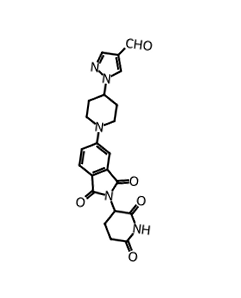 O=Cc1cnn(C2CCN(c3ccc4c(c3)C(=O)N(C3CCC(=O)NC3=O)C4=O)CC2)c1